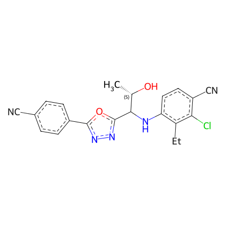 CCc1c(NC(c2nnc(-c3ccc(C#N)cc3)o2)[C@H](C)O)ccc(C#N)c1Cl